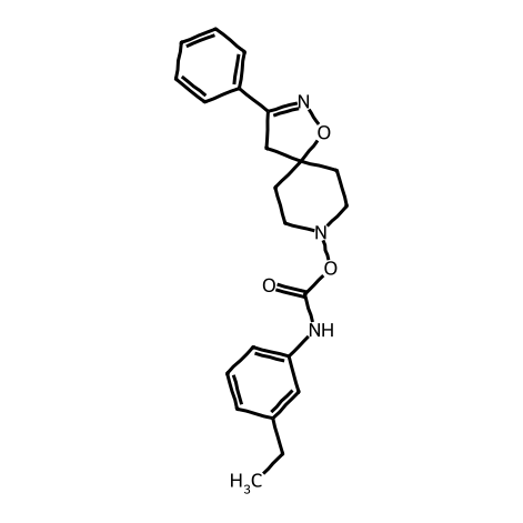 CCc1cccc(NC(=O)ON2CCC3(CC2)CC(c2ccccc2)=NO3)c1